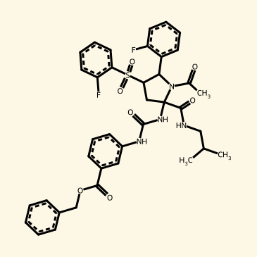 CC(=O)N1C(c2ccccc2F)C(S(=O)(=O)c2ccccc2F)CC1(NC(=O)Nc1cccc(C(=O)OCc2ccccc2)c1)C(=O)NCC(C)C